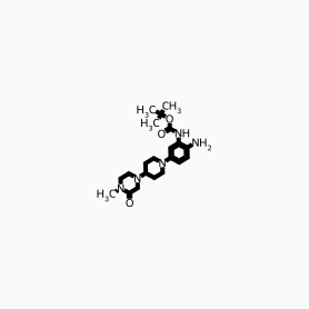 CN1CCN(C2CCN(c3ccc(N)c(NC(=O)OC(C)(C)C)c3)CC2)CC1=O